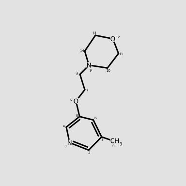 Cc1cncc(OCCN2CCOCC2)c1